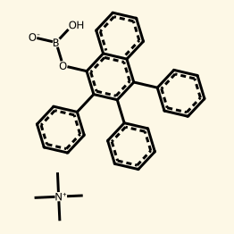 C[N+](C)(C)C.[O-]B(O)Oc1c(-c2ccccc2)c(-c2ccccc2)c(-c2ccccc2)c2ccccc12